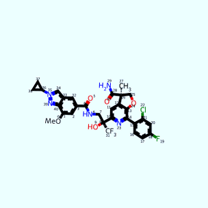 COc1cc(C(=O)NCC(O)(c2cc3c(c(-c4ccc(F)cc4Cl)n2)OC[C@]3(C)C(N)=O)C(F)(F)F)cc2cn(C3CC3)nc12